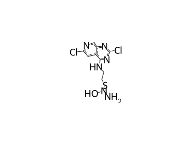 NN(O)SCCNc1nc(Cl)nc2cnc(Cl)cc12